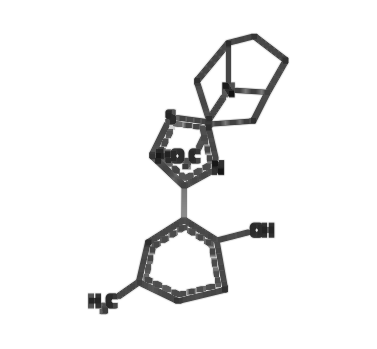 CCOC(=O)C1CC2CCC(C1)N2c1nc(-c2cc(C)ccc2O)cs1